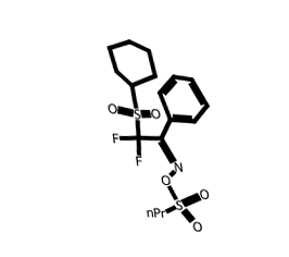 CCCS(=O)(=O)ON=C(c1ccccc1)C(F)(F)S(=O)(=O)C1CCCCC1